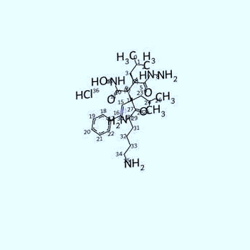 CC(C)C[C@@H](C(=O)NN)[C@H](C(=O)NO)C(/C=C/c1ccccc1)(CC(C)C)C(=O)[C@H](N)CCCCN.Cl